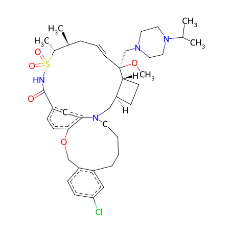 CO[C@]1(CN2CCN(C(C)C)CC2)/C=C/C[C@H](C)[C@@H](C)S(=O)(=O)NC(=O)c2ccc3c(c2)N(CCCCc2cc(Cl)ccc2CO3)C[C@@H]2CC[C@H]21